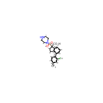 O=C(O)C1(S(=O)(=O)N2CCNCC2)CCc2c(-c3ccc(C(F)(F)F)cc3F)cccc21